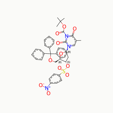 Cc1cn([C@H]2C[C@H](OS(=O)(=O)c3ccc([N+](=O)[O-])cc3)[C@@H](COC(c3ccccc3)(c3ccccc3)c3ccccc3)O2)c(=O)n(C(=O)OC(C)(C)C)c1=O